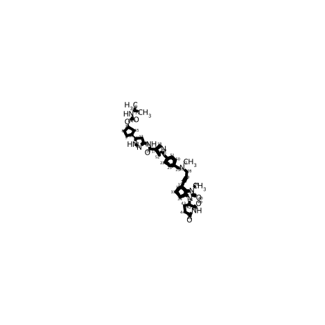 CC(C)NC(=O)O[C@@H]1CC[C@H](C2CC(NC(=O)c3cnn(-c4ccc(CN(C)CC#Cc5cccc6c5n(C)c(=O)n6C5CCC(=O)NC5=O)cc4)c3)=NN2)C1